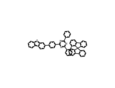 c1ccc(-c2nc(-c3ccc(-c4ccc5c(c4)sc4ccccc45)cc3)nc(-c3ccccc3-c3cccc4c3C3(c5ccccc5-c5ccccc53)c3ccccc3-4)n2)cc1